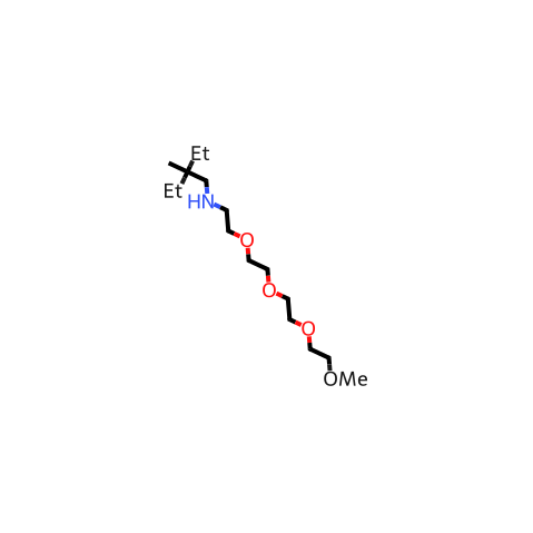 CCC(C)(CC)CNCCOCCOCCOCCOC